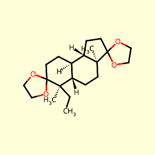 CC[C@]1(C)[C@H]2CC[C@@]3(C)[C@@H](CCC34OCCO4)[C@@H]2CCC12OCCO2